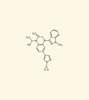 CC(O)N1c2ccc(-c3cnn(C4CC4)c3)cc2N(c2nn(C)c3ncccc23)C[C@@H]1C